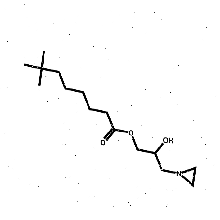 CC(C)(C)CCCCCC(=O)OCC(O)CN1CC1